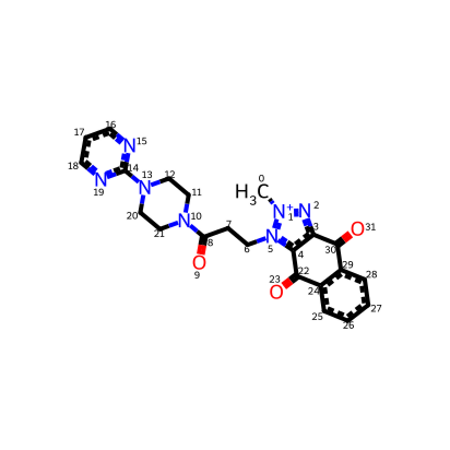 C[n+]1nc2c(n1CCC(=O)N1CCN(c3ncccn3)CC1)C(=O)c1ccccc1C2=O